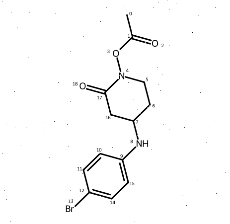 CC(=O)ON1CCC(Nc2ccc(Br)cc2)CC1=O